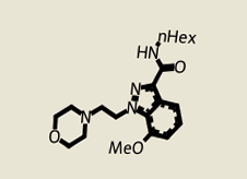 CCCCCCNC(=O)c1nn(CCN2CCOCC2)c2c(OC)cccc12